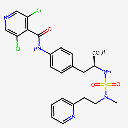 CN(CCc1ccccn1)S(=O)(=O)N[C@@H](Cc1ccc(NC(=O)c2c(Cl)cncc2Cl)cc1)C(=O)O